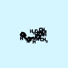 Cc1nc(NCc2cnn(C[C@@H]3CC4CC[C@@H]3C4)c2)nc2c1NC(=O)[C@H](C)N2C